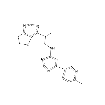 Cc1ccc(-c2cc(NCC(C)c3ccnc4c3OCC4)ncn2)cn1